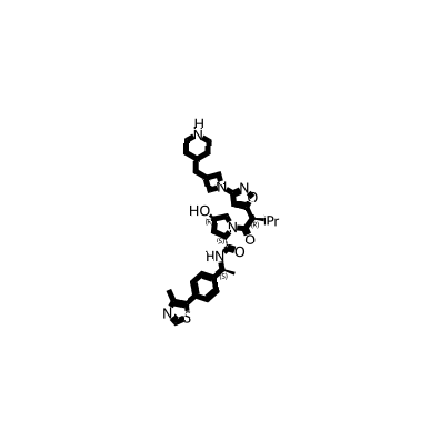 Cc1ncsc1-c1ccc([C@H](C)NC(=O)[C@@H]2C[C@@H](O)CN2C(=O)[C@@H](c2cc(N3CC(CC4CCNCC4)C3)no2)C(C)C)cc1